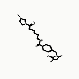 CC1CC(=O)N(CC2CCC(C(=O)NCCCCCC(=O)N3CC[C@@H](C)C3)CC2)C1=O